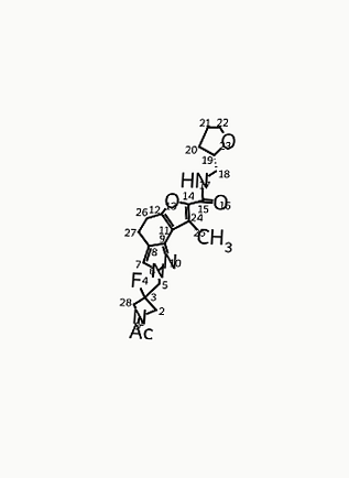 CC(=O)N1CC(F)(Cn2cc3c(n2)-c2c(oc(C(=O)NC[C@@H]4CCCO4)c2C)CC3)C1